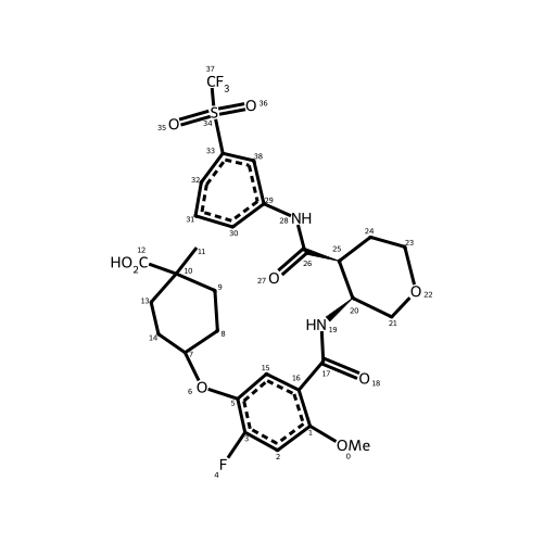 COc1cc(F)c(OC2CCC(C)(C(=O)O)CC2)cc1C(=O)N[C@@H]1COCC[C@@H]1C(=O)Nc1cccc(S(=O)(=O)C(F)(F)F)c1